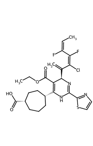 C=C(/C(Cl)=C(F)\C(F)=C/C)[C@H]1N=C(c2nccs2)NC([C@@H]2CCC[C@H](C(=O)O)CC2)=C1C(=O)OCC